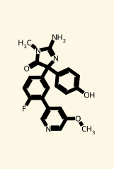 COc1cncc(-c2cc(C3(c4ccc(O)cc4)N=C(N)N(C)C3=O)ccc2F)c1